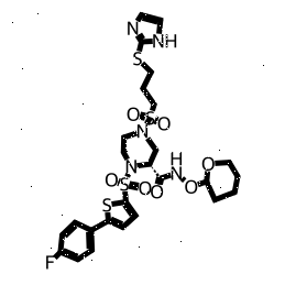 O=C(NOC1CCCCO1)[C@H]1CN(S(=O)(=O)CCCSc2ncc[nH]2)CCN1S(=O)(=O)c1ccc(-c2ccc(F)cc2)s1